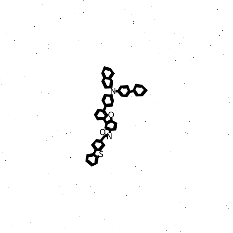 c1ccc(-c2ccc(N(c3ccc(-c4cccc5c4oc4ccc6nc(-c7ccc8c(c7)sc7ccccc78)oc6c45)cc3)c3ccc4ccccc4c3)cc2)cc1